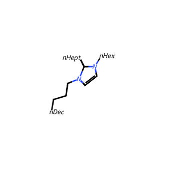 CCCCCCCCCCCCCN1C=CN(CCCCCC)C1CCCCCCC